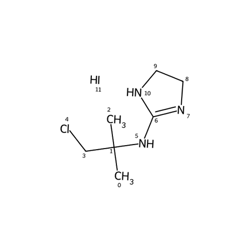 CC(C)(CCl)NC1=NCCN1.I